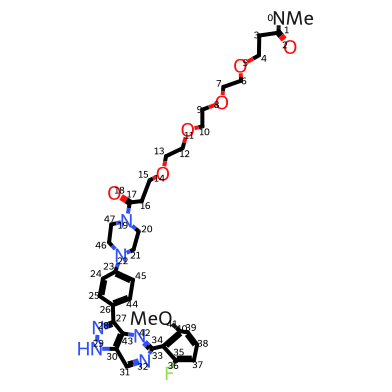 CNC(=O)CCOCCOCCOCCOCCC(=O)N1CCN(c2ccc(-c3n[nH]c4cnc(-c5c(F)cccc5OC)nc34)cc2)CC1